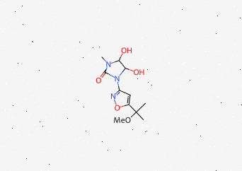 COC(C)(C)c1cc(N2C(=O)N(C)C(O)C2O)no1